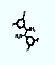 NC(c1cc(F)cc(F)c1)[C@H](N)c1cc(F)cc(F)c1